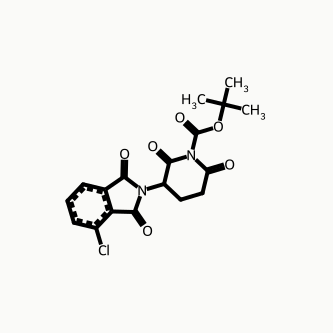 CC(C)(C)OC(=O)N1C(=O)CCC(N2C(=O)c3cccc(Cl)c3C2=O)C1=O